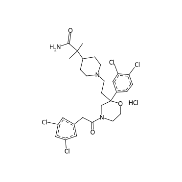 CC(C)(C(N)=O)C1CCN(CCC2(c3ccc(Cl)c(Cl)c3)CN(C(=O)Cc3cc(Cl)cc(Cl)c3)CCO2)CC1.Cl